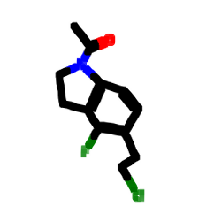 CC(=O)N1CCc2c1ccc(CCCl)c2F